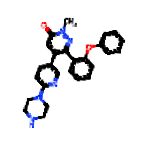 Cn1nc(-c2ccccc2Oc2ccccc2)c(-c2ccc(N3CCNCC3)nc2)cc1=O